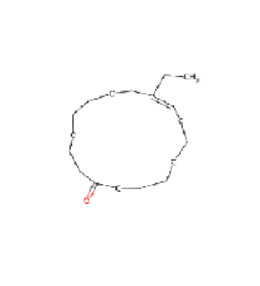 CCC1=CCCCCCCC(=O)CCCCCCC1